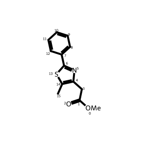 COC(=O)Cc1nc(-c2ccccc2)sc1C